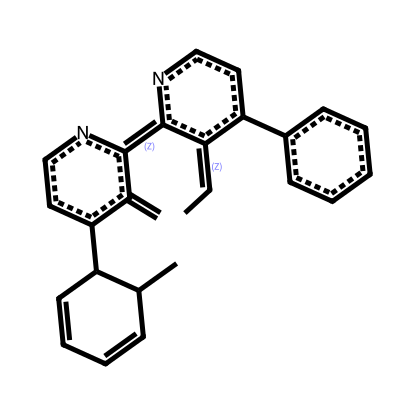 C=c1c(C2C=CC=CC2C)ccn/c1=c1\nccc(-c2ccccc2)\c1=C\C